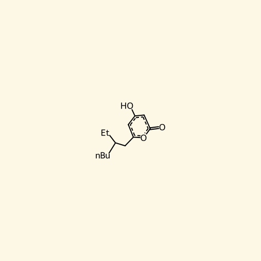 CCCCC(CC)Cc1cc(O)cc(=O)o1